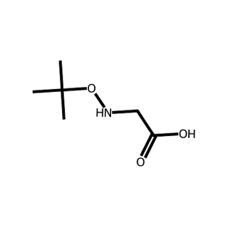 CC(C)(C)ONCC(=O)O